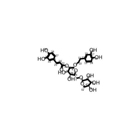 C[C@@H]1O[C@@H](OC[C@H]2O[C@@H](OCCc3ccc(O)c(O)c3)[C@H](OC(=O)/C=C/c3ccc(O)c(O)c3)[C@@H](O)[C@@H]2O)[C@H](O)[C@H](O)[C@H]1O